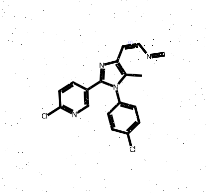 C=N/C=C\c1nc(-c2ccc(Cl)nc2)n(-c2ccc(Cl)cc2)c1C